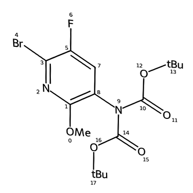 COc1nc(Br)c(F)cc1N(C(=O)OC(C)(C)C)C(=O)OC(C)(C)C